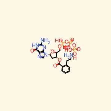 NCCc1ccccc1C(=O)O[C@@H]1C[C@H](n2cnc3c(=O)[nH]c(N)nc32)OC1COP(=O)(O)OP(=O)(O)OP(=O)(O)O